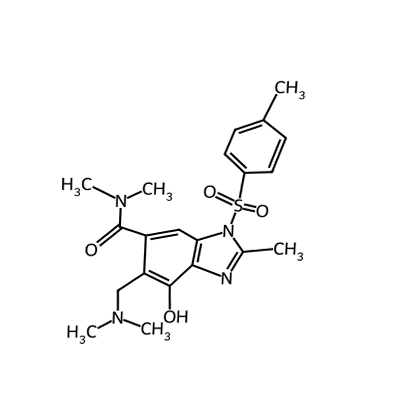 Cc1ccc(S(=O)(=O)n2c(C)nc3c(O)c(CN(C)C)c(C(=O)N(C)C)cc32)cc1